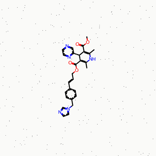 COC(=O)C1=C(C)NC(C)=C(C(=O)OC/C=C/c2ccc(Cn3ccnc3)cc2)C1c1cnccn1